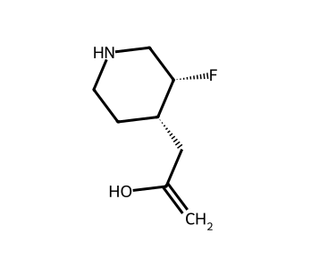 C=C(O)C[C@@H]1CCNC[C@@H]1F